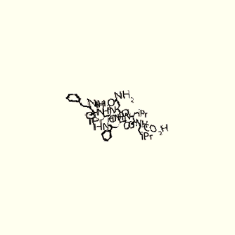 CC(C)C[C@H](NC(=O)[C@H](CC(C)C)NC(=O)[C@H](Cc1c[nH]c2ccccc12)NC(=O)[C@H](CC(N)=O)NC(=O)[C@@H](NC(=O)[C@@H](N)Cc1ccccc1)C(C)C)C(=O)O